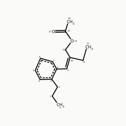 CCCc1ccccc1C=C(CC)COC(C)=O